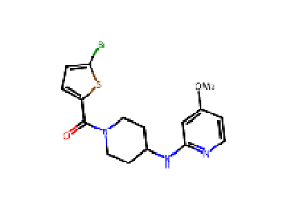 COc1ccnc(NC2CCN(C(=O)c3ccc(Br)s3)CC2)c1